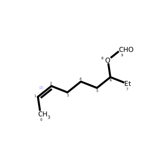 C/C=C\CCCC(CC)OC=O